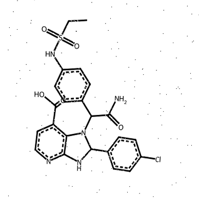 CCS(=O)(=O)Nc1ccc(C(C(N)=O)N2c3c(C(=O)O)ccnc3NC2c2ccc(Cl)cc2)cc1